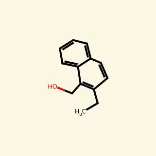 CCc1ccc2ccccc2c1CO